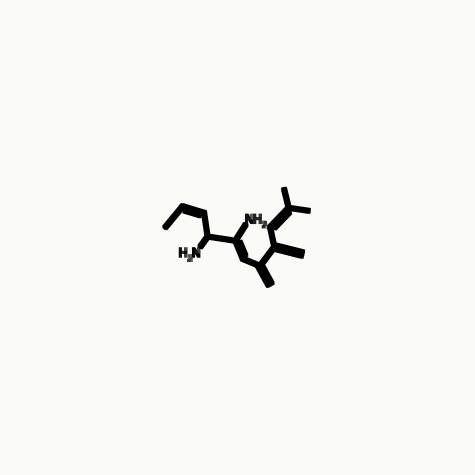 C=C(C=C(C)C)C(=C)/C=C(\N)C(N)/C=C\C